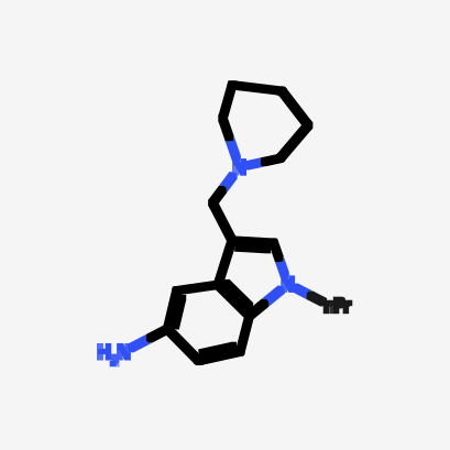 CCCn1cc(CN2CCCCC2)c2cc(N)ccc21